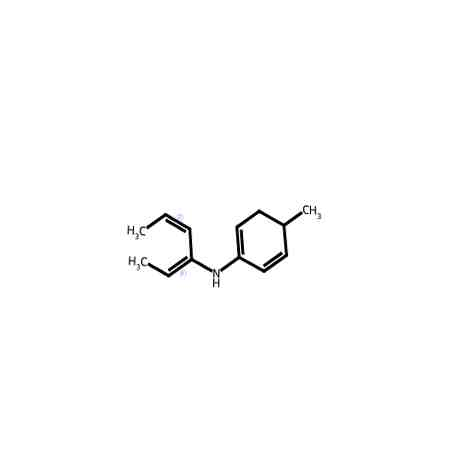 C/C=C\C(=C/C)NC1=CCC(C)C=C1